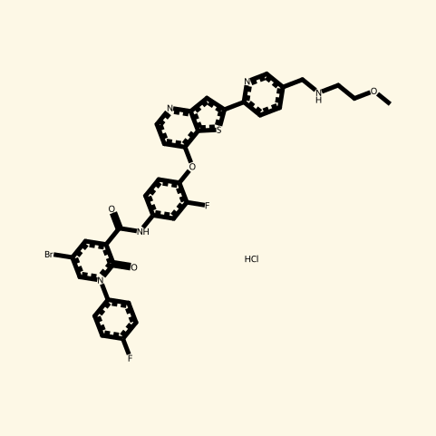 COCCNCc1ccc(-c2cc3nccc(Oc4ccc(NC(=O)c5cc(Br)cn(-c6ccc(F)cc6)c5=O)cc4F)c3s2)nc1.Cl